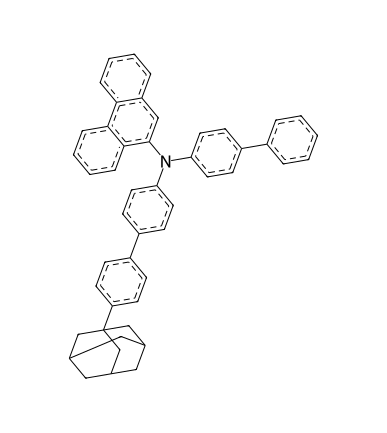 c1ccc(-c2ccc(N(c3ccc(-c4ccc(C56CC7CC(CC(C7)C5)C6)cc4)cc3)c3cc4ccccc4c4ccccc34)cc2)cc1